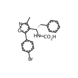 Cc1noc(-c2ccc(Br)cc2)c1[C@H](Cc1ccccc1)NC(=O)O